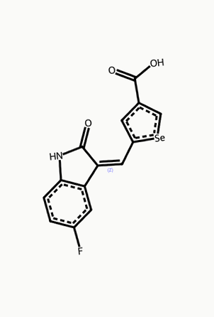 O=C1Nc2ccc(F)cc2/C1=C/c1cc(C(=O)O)c[se]1